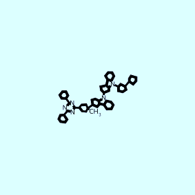 CC1(c2ccc3c(c2)c2ccccc2n3-c2ccc3c4ccccc4n(-c4cccc(-c5ccccc5)c4)c3c2)C=CC(c2nc(-c3ccccc3)nc(-c3ccccc3)n2)=CC1